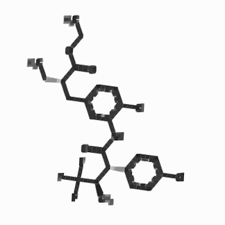 CCOC(=O)[C@@H](CC)Cc1ccc(Cl)c(NC(=O)[C@H](c2ccc(Cl)cc2)[C@@H](C)C(F)(F)F)c1